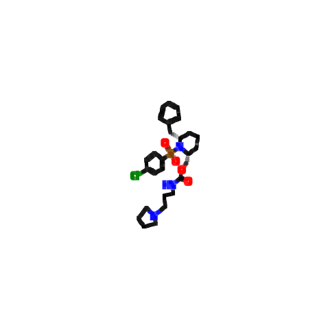 O=C(NCCCN1CCCC1)OC[C@H]1CCC[C@@H](Cc2ccccc2)N1S(=O)(=O)c1ccc(Cl)cc1